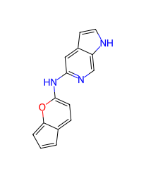 c1cc2ccc(Nc3cc4cc[nH]c4cn3)oc-2c1